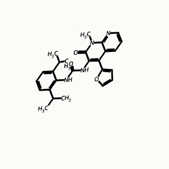 CC(C)c1cccc(C(C)C)c1NC(=O)Nc1c(-c2ccco2)c2cccnc2n(C)c1=O